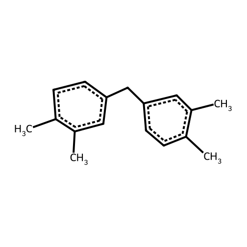 Cc1ccc(Cc2ccc(C)c(C)c2)cc1C